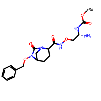 CC(C)(C)OC(=O)N[C@H](N)CONC(=O)C1CCC2CN1C(=O)N2OCc1ccccc1